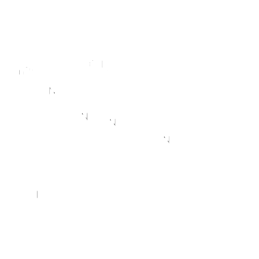 CCCN1c2ccc(F)cc2N(N2CCN(c3ccccc3)CC2)C1C